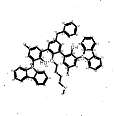 CSCCCCOc1c(-c2cc(C)cc(-n3c4ccccc4c4ccccc43)c2O)cc(Cc2ccccc2)cc1-c1cc(C)cc(-n2c3ccccc3c3ccccc32)c1O